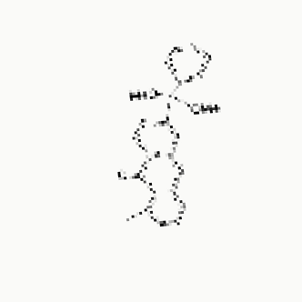 COC(OC)(c1ccccc1)c1ccc2c(=O)c3c(C)cccc3sc2c1